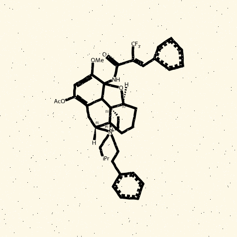 COC1=CC(OC(C)=O)=C2C[C@@H]3[C@@H]4CCC[C@@H]5OC1(NC(=O)C(=Cc1ccccc1)C(F)(F)F)C2[C@@]54CC[N+]3(CCc1ccccc1)CC(C)C